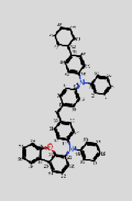 c1ccc(N(c2ccc(Cc3ccc(N(c4ccccc4)c4cccc5c4oc4ccccc45)cc3)cc2)c2ccc(C3CCCCC3)cc2)cc1